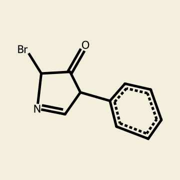 O=C1C(Br)N=CC1c1ccccc1